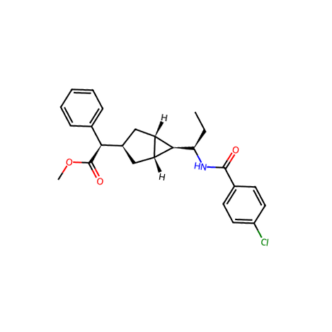 CC[C@@H](NC(=O)c1ccc(Cl)cc1)[C@H]1[C@@H]2C[C@@H]([C@@H](C(=O)OC)c3ccccc3)C[C@@H]21